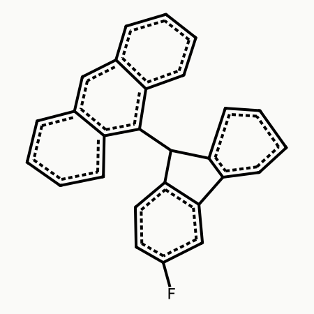 Fc1ccc2c(c1)-c1ccccc1C2c1c2ccccc2cc2ccccc12